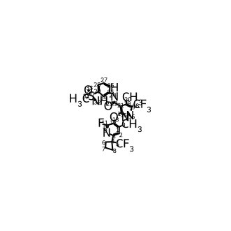 Cc1cc(C2(C(F)(F)F)CCC2)nc(F)c1Oc1nnc(C(F)(F)F)c(C)c1C(=O)Nc1cccc(S(C)(=N)=O)c1